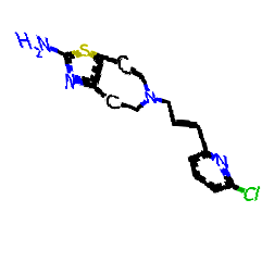 Nc1nc2c(s1)CCN(C/C=C/c1cccc(Cl)n1)CC2